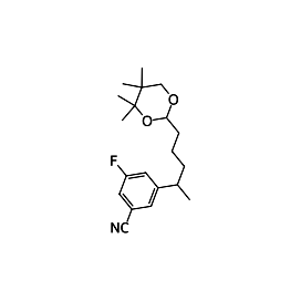 CC(CCCC1OCC(C)(C)C(C)(C)O1)c1cc(F)cc(C#N)c1